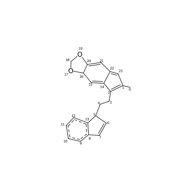 CC1=C(CCC2C=Cc3ccccc32)C2=CC3OCOC3=CC2=C1